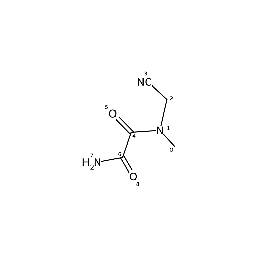 CN(CC#N)C(=O)C(N)=O